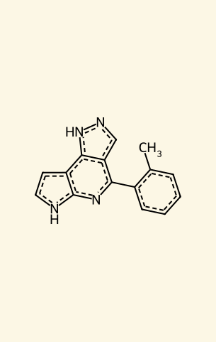 Cc1ccccc1-c1nc2[nH]ccc2c2[nH]ncc12